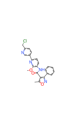 COc1nc(-c2ccc(CCl)nc2)ccc1NC(=O)c1c(-c2ccccc2)noc1C